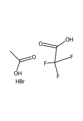 Br.CC(=O)O.O=C(O)C(F)(F)F